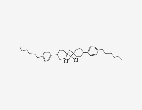 CCCCCCc1ccc(C2CCC3(CC2)CC2(CCC(c4ccc(CCCCCC)cc4)CC2)C3(Cl)Cl)cc1